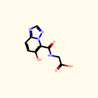 O=C(O)CNC(=O)c1c(O)ccc2ncnn12